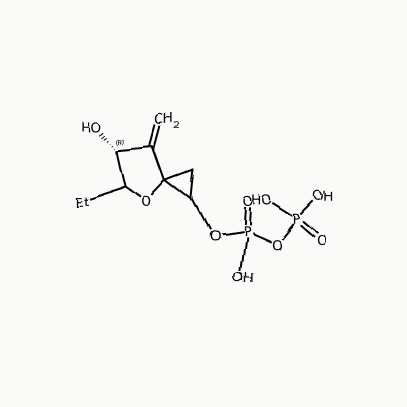 C=C1[C@@H](O)C(CC)OC12CC2OP(=O)(O)OP(=O)(O)O